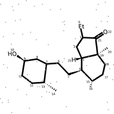 CCC1C[C@H]2[C@H](CCC3C[C@H](O)CC[C@H]3C)[C@@H](C)CC[C@]2(C)C1=O